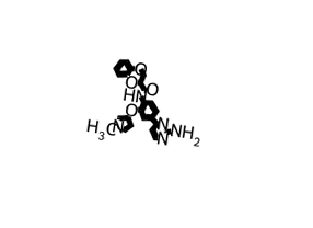 CN1CCC(Oc2cc(-c3ccnc(N)n3)ccc2NC(=O)C2COc3ccccc3O2)C1